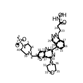 CS(=O)(=O)N1CCN(Cc2cc3nc(-c4cccc5c4cnn5CCC(=O)NO)nc(N4CCOCC4)c3s2)CC1